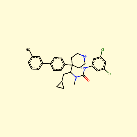 CN(C(=O)Nc1cc(Cl)cc(Cl)c1)C(CC1CC1)C1(c2ccc(-c3cccc(C#N)c3)cc2)CCNCC1